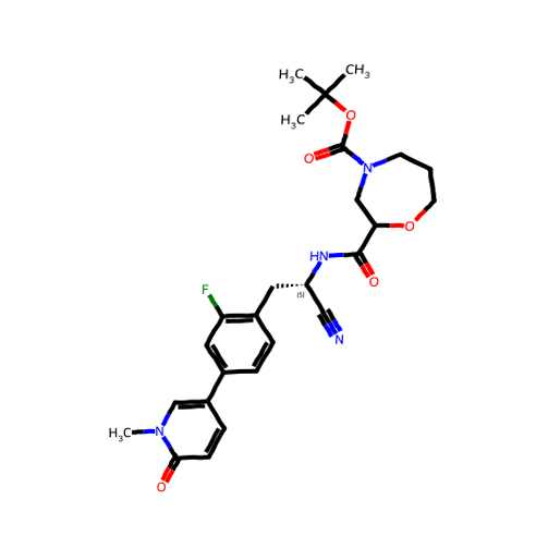 Cn1cc(-c2ccc(C[C@@H](C#N)NC(=O)C3CN(C(=O)OC(C)(C)C)CCCO3)c(F)c2)ccc1=O